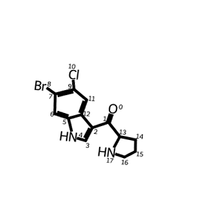 O=C(c1c[nH]c2cc(Br)c(Cl)cc12)C1CCCN1